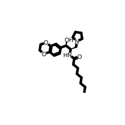 CCCCCCCC(=O)N[C@H](CN1CCCC1)[C@H](O)c1ccc2c(c1)OCCO2